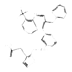 O=C(O)Cc1ccsc1CNc1cccc(-c2c(Cc3ccccc3)cnc3c(C(F)(F)F)cccc23)c1